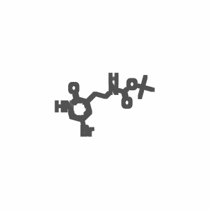 CC(C)(C)OC(=O)NCCc1cc(Br)c[nH]c1=O